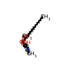 CCCCCCCCCCCCCCCCCCOCC(COP(=O)(O)Oc1ccc(CN2C=C(C)SC2)cc1)OC